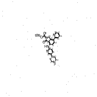 CN1CCN(c2ccc(Nc3ccc(-c4ccccn4)c4c3C(=O)N(C(=O)OC(C)(C)C)C4)nc2)CC1